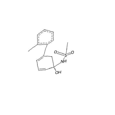 Cc1ccccc1C1=CC=CC(O)(NS(C)(=O)=O)C1